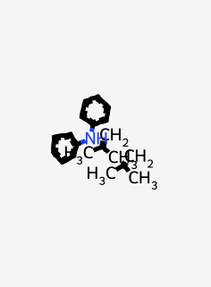 C=C(C)C.C=C(C)C.c1ccc(Nc2ccccc2)cc1